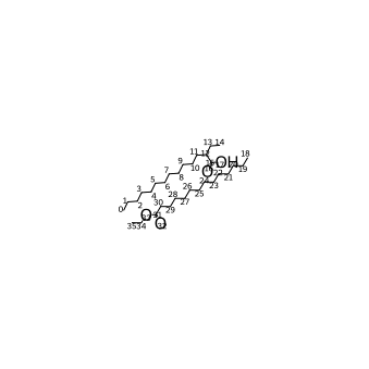 CCCCCCCCCCCCC(CC)C(=O)O.CCCCCCCCCCCCCC(=O)OCC